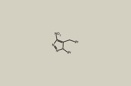 CC(C)Cc1c([N+](=O)[O-])nnn1C(C)C